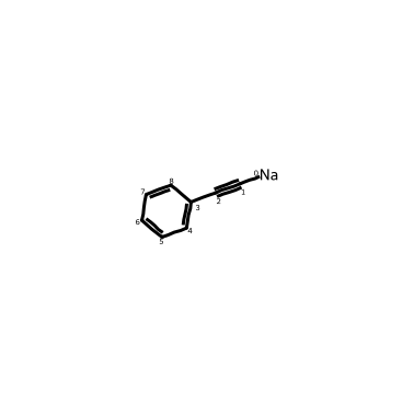 [Na][C]#Cc1ccccc1